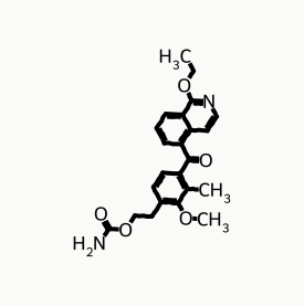 CCOc1nccc2c(C(=O)c3ccc(CCOC(N)=O)c(OC)c3C)cccc12